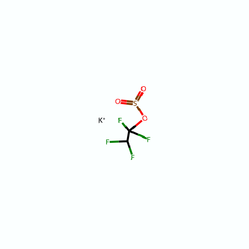 O=[S-](=O)OC(F)(F)C(F)F.[K+]